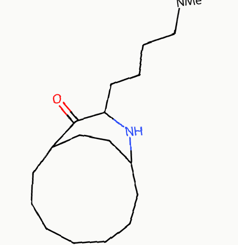 CNCCCCC1NC2CCCCCCCC(CC2)C1=O